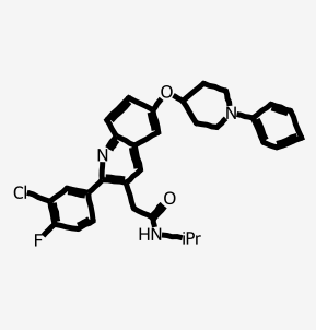 CC(C)NC(=O)Cc1cc2cc(OC3CCN(c4ccccc4)CC3)ccc2nc1-c1ccc(F)c(Cl)c1